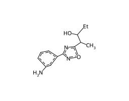 CCC(O)C(C)c1nc(-c2cccc(N)c2)no1